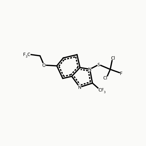 FC(F)(F)COc1ccc2c(c1)nc(C(F)(F)F)n2SC(F)(Cl)Cl